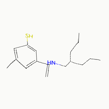 C=C(NCC(CCC)CCC)c1cc(C)cc(S)c1